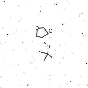 C1CCOC1.COC(C)(C)C.O